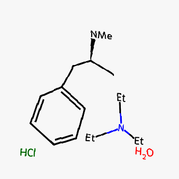 CCN(CC)CC.CN[C@@H](C)Cc1ccccc1.Cl.O